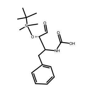 CC(C)(C)[Si](C)(C)O[C@H](C=O)C(Cc1ccccc1)NC(=O)O